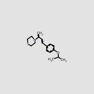 C=C(/C=C/c1ccc(OC(C)C)cc1)N1CCSCC1